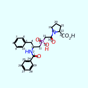 O=C(N[C@@H](Cc1ccccc1)CP(=O)(O)CC(=O)N1CCC[C@H]1C(=O)O)c1ccccc1